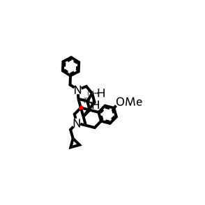 COc1ccc2c(c1)C13CCN(CC4CC4)C(C2)C12CCC1[C@@H]3[C@@H](CN1Cc1ccccc1)C2